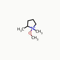 CO[N+]1(C)CCCC1C